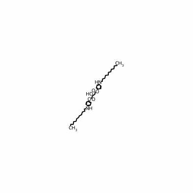 CCCCCCCCCCCCNc1ccc(OC(=O)CC(O)C(=O)Oc2ccc(NCCCCCCCCCCCC)cc2)cc1